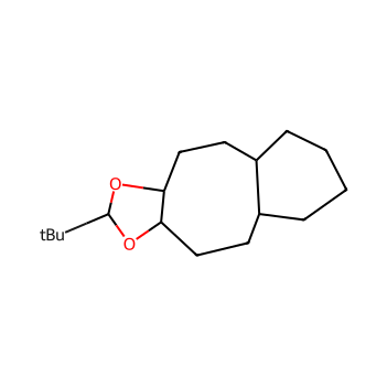 CC(C)(C)C1OC2CCC3CCCCC3CCC2O1